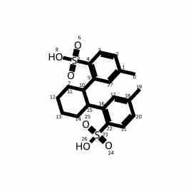 Cc1ccc(S(=O)(=O)O)c(C2CCCCC2c2cc(C)ccc2S(=O)(=O)O)c1